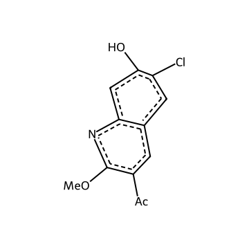 COc1nc2cc(O)c(Cl)cc2cc1C(C)=O